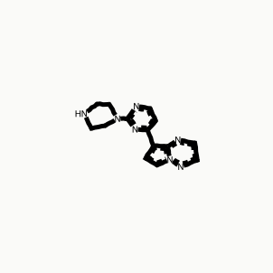 c1cc(-c2ccn3nccnc23)nc(N2CCNCC2)n1